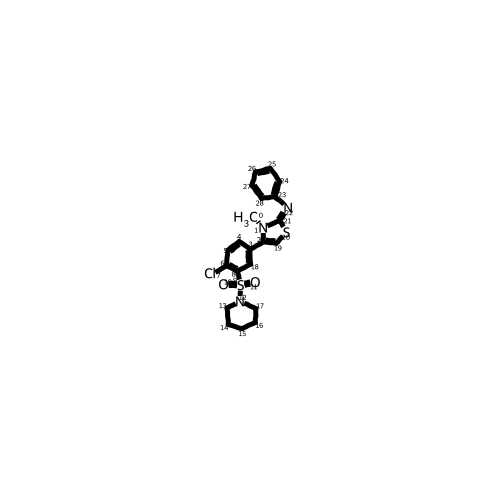 Cn1c(-c2ccc(Cl)c(S(=O)(=O)N3CCCCC3)c2)cs/c1=N/c1ccccc1